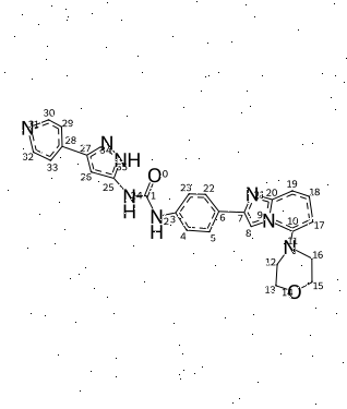 O=C(Nc1ccc(-c2cn3c(N4CCOCC4)cccc3n2)cc1)Nc1cc(-c2ccncc2)n[nH]1